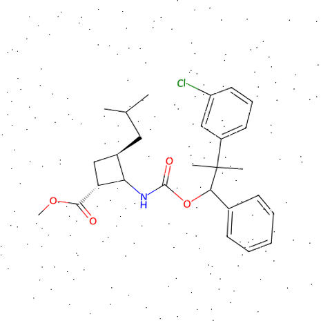 COC(=O)[C@@H]1C[C@@H](CC(C)C)C1NC(=O)OC(c1ccccc1)C(C)(C)c1cccc(Cl)c1